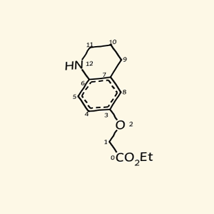 CCOC(=O)COc1ccc2c(c1)CCCN2